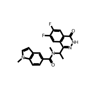 CC(c1n[nH]c(=O)c2cc(F)c(F)cc12)N(C)C(=O)c1ccc2c(ccn2C)c1